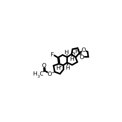 CC(=O)O[C@H]1CC[C@H]2C(=C(F)C[C@@H]3[C@@H]2CC[C@@]2(C)[C@H]3CCC23OCCO3)C1